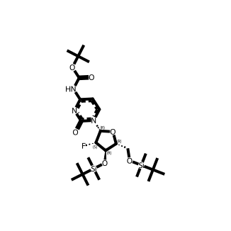 CC(C)(C)OC(=O)Nc1ccn([C@@H]2O[C@H](CO[Si](C)(C)C(C)(C)C)[C@@H](O[Si](C)(C)C(C)(C)C)[C@@H]2F)c(=O)n1